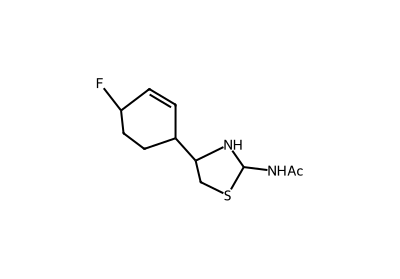 CC(=O)NC1NC(C2C=CC(F)CC2)CS1